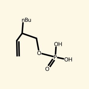 C=CC(CCCC)COP(=O)(O)O